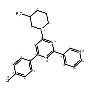 FC(F)(F)C1CCCN(c2cc(-c3ccc(Cl)cc3)nc(-c3cccnc3)n2)C1